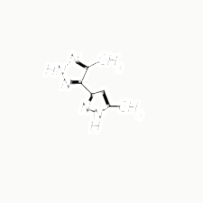 Cc1cc(-c2n[nH]nc2C)n[nH]1